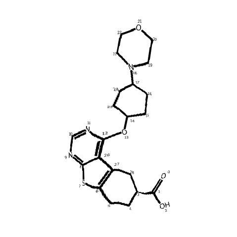 O=C(O)[C@H]1CCc2sc3ncnc(OC4CCC(N5CCOCC5)CC4)c3c2C1